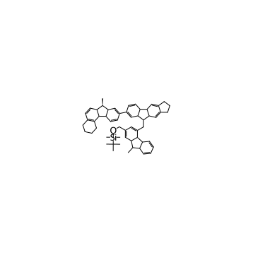 CC1C2C=CC=CC2C2C(CC3C4C=C(C5=CC6C(C=C5)C5C7=C(C=CC5[C@H]6C)CCCC7)C=CC4C4C=C5CCCC5=CC43)=CC(CO[Si](C)(C)C(C)(C)C)=CC12